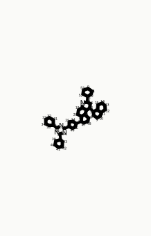 c1ccc(-c2cc(-c3cccc4ccccc34)c3c(ccc4c(-c5ccc(-c6nc(-c7ccccc7)nc(-c7ccccc7)n6)cc5)cccc43)n2)cc1